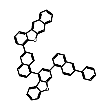 c1ccc(-c2ccc3c(-c4cc(-c5cccc6cc(-c7cccc8c7oc7cc9ccccc9cc78)ccc56)c5c(c4)oc4ccccc45)cccc3c2)cc1